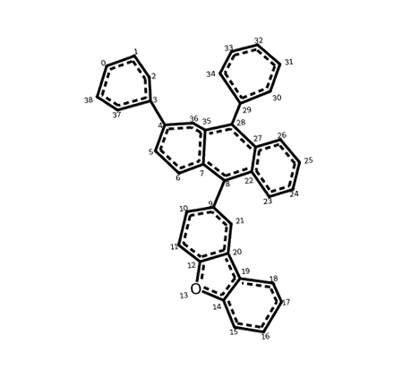 c1ccc(-c2ccc3c(-c4ccc5oc6ccccc6c5c4)c4ccccc4c(-c4ccccc4)c3c2)cc1